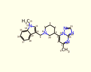 Cc1cc(C2CCCN(Cc3cn(C)c4ccccc34)C2)n2ncnc2n1